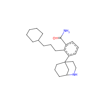 NC(=O)c1cccc(C23CCCC(C2)NCC3)c1CCCC1CCCCC1